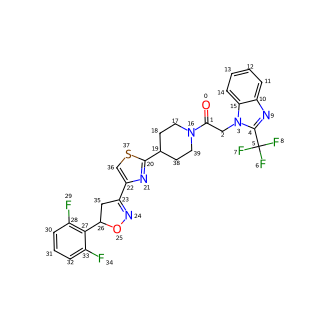 O=C(Cn1c(C(F)(F)F)nc2ccccc21)N1CCC(c2nc(C3=NOC(c4c(F)cccc4F)C3)cs2)CC1